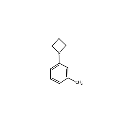 [CH2]c1cccc(N2CCC2)c1